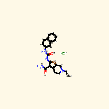 CC(C)(C)CN1CCc2c(sc(NC(=O)Nc3ccc4ccccc4c3)c2C(N)=O)C1.Cl